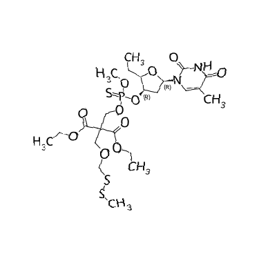 CCOC(=O)C(COCSSC)(COP(=S)(OC)O[C@@H]1C[C@H](n2cc(C)c(=O)[nH]c2=O)OC1CC)C(=O)OCC